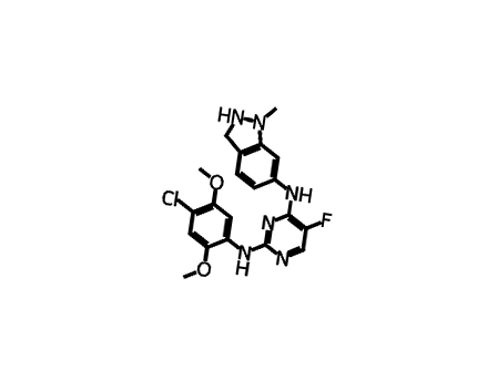 COc1cc(Nc2ncc(F)c(Nc3ccc4c(c3)N(C)NC4)n2)c(OC)cc1Cl